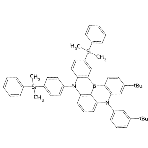 CC(C)(C)c1cccc(N2c3cc(C(C)(C)C)ccc3B3c4cc([Si](C)(C)c5ccccc5)ccc4N(c4ccc([Si](C)(C)c5ccccc5)cc4)c4cccc2c43)c1